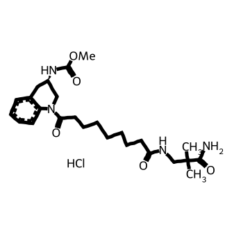 COC(=O)N[C@H]1Cc2ccccc2N(C(=O)CCCCCCCC(=O)NCC(C)(C)C(N)=O)C1.Cl